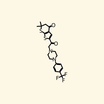 CC1(C)CC(=O)c2cc(C(=O)CN3CCN(c4ccc(C(F)(F)F)cc4)CC3)sc2S1